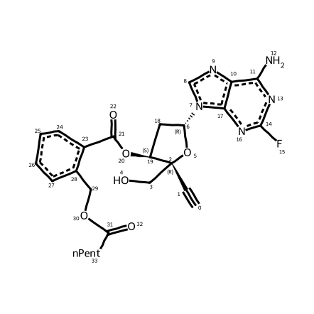 C#C[C@]1(CO)O[C@@H](n2cnc3c(N)nc(F)nc32)C[C@@H]1OC(=O)c1ccccc1COC(=O)CCCCC